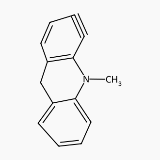 CN1c2c#cccc2Cc2ccccc21